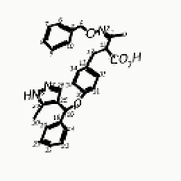 CC(=NOCc1ccccc1)C(Cc1ccc(OC(c2ccccc2)c2cn[nH]c2C)cc1)C(=O)O